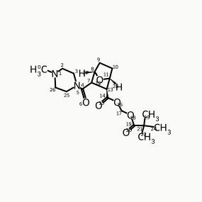 CN1CCN(C(=O)C2[C@@H]3CC[C@@H](O3)[C@H]2C(=O)OCOC(=O)C(C)(C)C)CC1